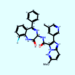 COc1ccc2nc(-c3cncc(C)c3)c(C(=O)NC3N=C(c4ccccc4)c4cccc(F)c4NC3=O)n2n1